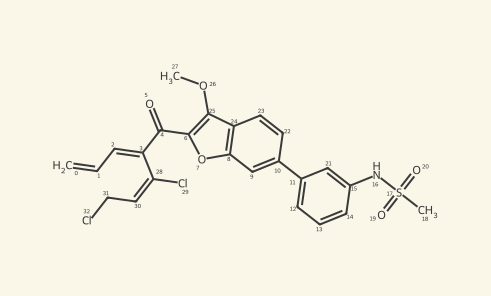 C=C/C=C(C(=O)c1oc2cc(-c3cccc(NS(C)(=O)=O)c3)ccc2c1OC)\C(Cl)=C/CCl